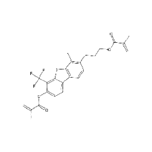 C=C(C)C(=O)OCCCc1ccc2c(sc3c(C(F)(F)F)c(OC(=O)C(=C)C)ccc32)c1C